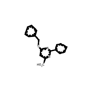 O=C(O)c1cc(OCc2ccccc2)nc(-c2ccccc2)n1